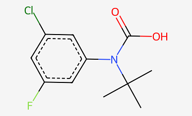 CC(C)(C)N(C(=O)O)c1cc(F)cc(Cl)c1